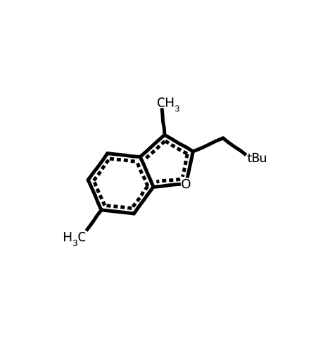 Cc1ccc2c(C)c(CC(C)(C)C)oc2c1